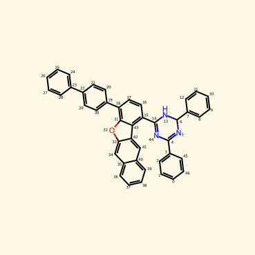 c1ccc(C2=NC(c3ccccc3)NC(c3ccc(-c4ccc(-c5ccccc5)cc4)c4oc5cc6ccccc6cc5c34)=N2)cc1